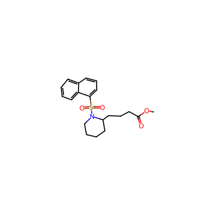 COC(=O)CCCC1CCCCN1S(=O)(=O)c1cccc2ccccc12